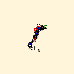 C[C@H]1CCCN(CCCOc2ccc(N3CCC4(CC3)CN(c3ccc(F)cc3)C(=O)CO4)cc2)C1